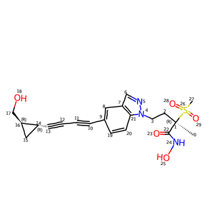 C[C@@](CCn1ncc2cc(C#CC#C[C@@H]3C[C@H]3CO)ccc21)(C(=O)NO)S(C)(=O)=O